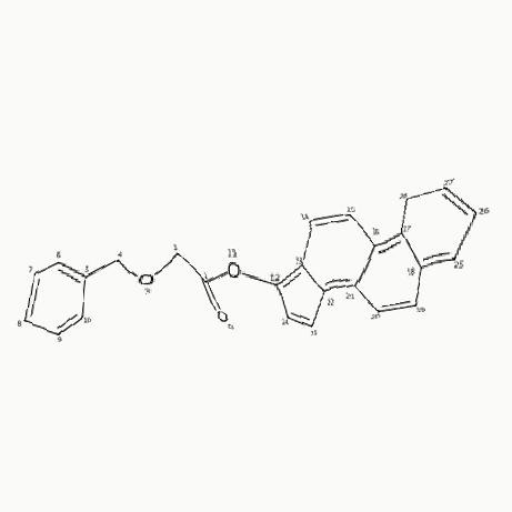 O=C(COCc1ccccc1)OC1=c2ccc3c4c(ccc3c2C=C1)=CC=CC4